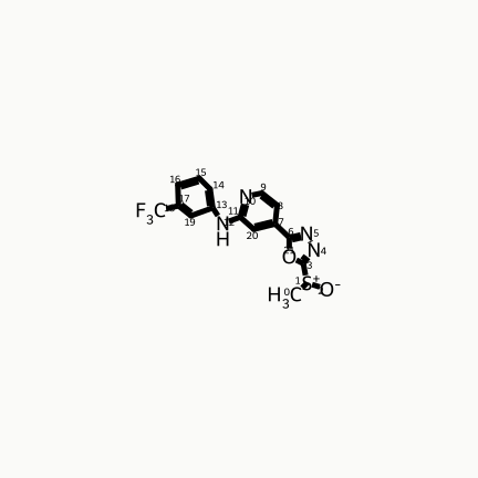 C[S+]([O-])c1nnc(-c2ccnc(Nc3cccc(C(F)(F)F)c3)c2)o1